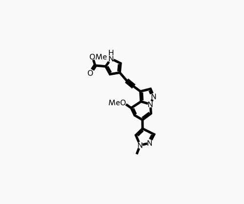 COC(=O)c1cc(C#Cc2cnn3cc(-c4cnn(C)c4)cc(OC)c23)c[nH]1